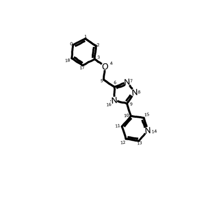 c1ccc(OCC2=NN=C(c3cccnc3)[N]2)cc1